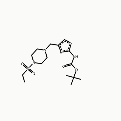 CCS(=O)(=O)N1CCN(Cc2csc(NC(=O)OC(C)(C)C)n2)CC1